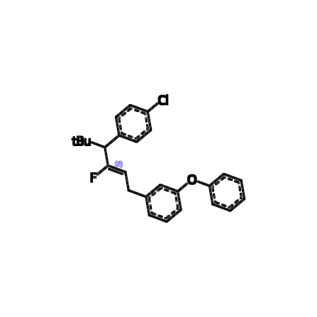 CC(C)(C)C(/C(F)=C/Cc1cccc(Oc2ccccc2)c1)c1ccc(Cl)cc1